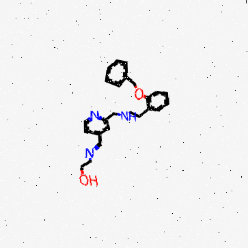 OCC/N=C/c1ccnc(CNCCc2ccccc2OCc2ccccc2)c1